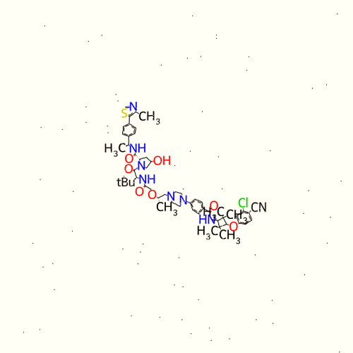 Cc1ncsc1-c1ccc([C@H](C)NC(=O)[C@@H]2C[C@@H](O)CN2C(=O)[C@@H](NC(=O)CO[C@@H](C)CN2CCN(c3ccc(C(=O)NC4C(C)(C)C(Oc5ccc(C#N)c(Cl)c5)C4(C)C)cc3)CC2)C(C)(C)C)cc1